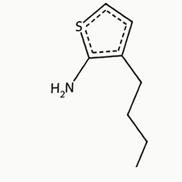 CCCCc1ccsc1N